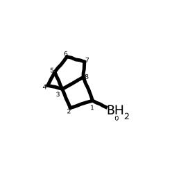 BC1CC23CC2CCC13